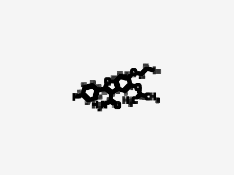 CC(C)Oc1cc2c(C(N)=O)c(-c3ccc(F)cc3)oc2cc1OCCI